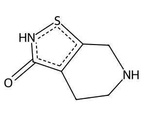 O=c1[nH]sc2c1CCNC2